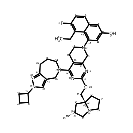 CCc1c(F)ccc2cc(O)cc(N3CCc4c(nc(OC[C@@]56CCCN5C[C@H](F)C6)nc4N4CCCc5nn(C6CCC6)cc5C4)C3)c12